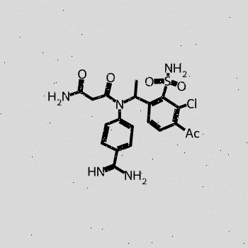 CC(=O)c1ccc(C(C)N(C(=O)CC(N)=O)c2ccc(C(=N)N)cc2)c(S(N)(=O)=O)c1Cl